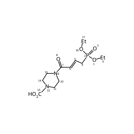 CCOP(=O)(C/C=C/C(=O)N1CCN(C(=O)O)CC1)OCC